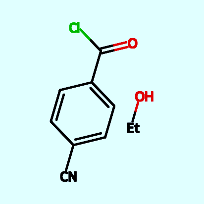 CCO.N#Cc1ccc(C(=O)Cl)cc1